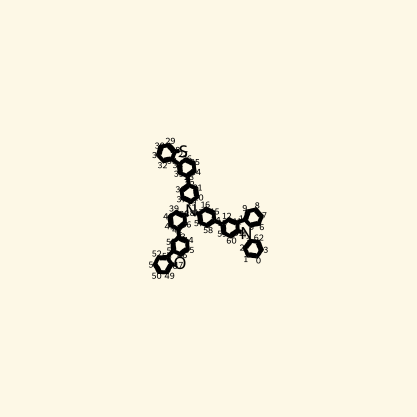 c1ccc(-n2c3ccccc3c3cc(-c4ccc(N(c5ccc(-c6ccc7sc8ccccc8c7c6)cc5)c5cccc(-c6ccc7oc8ccccc8c7c6)c5)cc4)ccc32)cc1